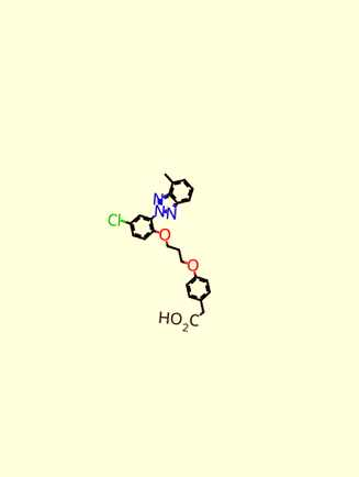 Cc1cccc2nn(-c3cc(Cl)ccc3OCCCOc3ccc(CC(=O)O)cc3)nc12